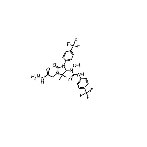 CC1(C)C(N(O)C(=O)Nc2ccc(C(F)(F)F)cc2)N(c2ccc(C(F)(F)F)cc2)C(=O)N1CC(=O)NN